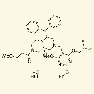 CCOc1nc(OC)c(CN2CC(C(c3ccccc3)c3ccccc3)N3CCN(C(=O)CCOC)C[C@H]3C2)c(OCC(F)F)n1.Cl.Cl